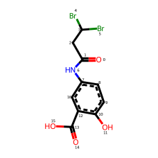 O=C(CC(Br)Br)Nc1ccc(O)c(C(=O)O)c1